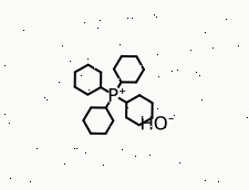 C1CCC([P+](C2CCCCC2)(C2CCCCC2)C2CCCCC2)CC1.[OH-]